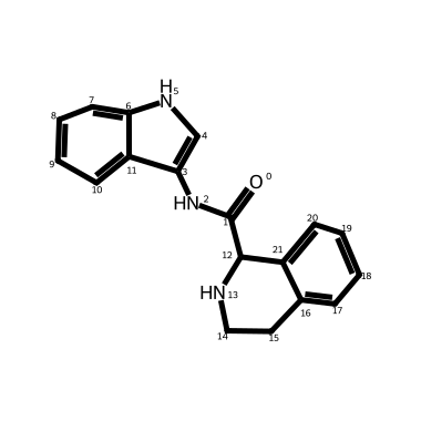 O=C(Nc1c[nH]c2ccccc12)C1NCCc2ccccc21